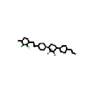 CCCC1CCC(C2CCC(C3CCC(CCC4CCC(C)C(F)C4F)CC3)[C@H](F)C2F)CC1